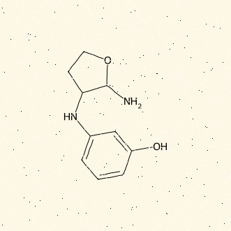 N[C]1OCCC1Nc1cccc(O)c1